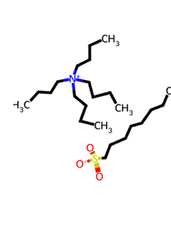 CCCCCCCCS(=O)(=O)[O-].CCCC[N+](CCCC)(CCCC)CCCC